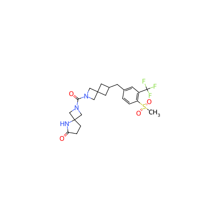 CS(=O)(=O)c1ccc(CC2CC3(C2)CN(C(=O)N2CC4(CCC(=O)N4)C2)C3)cc1C(F)(F)F